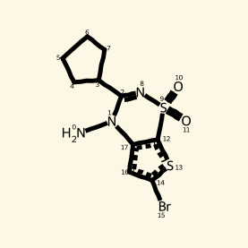 NN1C(C2CCCC2)=NS(=O)(=O)c2sc(Br)cc21